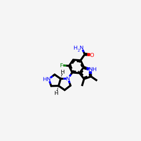 Cc1[nH]c2c(C(N)=O)cc(F)c(N3CC[C@H]4CNC[C@H]43)c2c1C